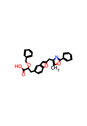 Cc1oc(-c2ccccc2)nc1Cc1cc2cc(CC(OCc3ccccc3)C(=O)O)ccc2o1